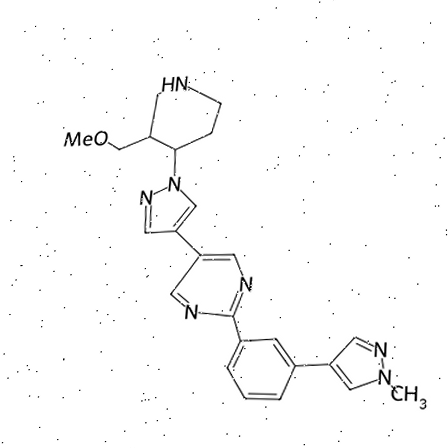 COCC1CNCCC1n1cc(-c2cnc(-c3cccc(-c4cnn(C)c4)c3)nc2)cn1